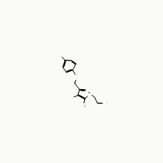 Nc1ccc(NCc2nn(CCO)c(N)c2N)cc1